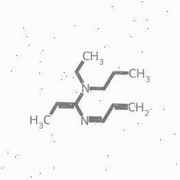 C=C/C=N\C(=C/C)N(CC)CCC